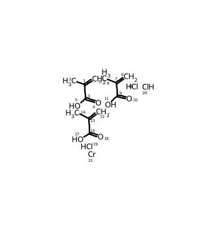 C=C(C)C(=O)O.C=C(C)C(=O)O.C=C(C)C(=O)O.Cl.Cl.Cl.[Cr]